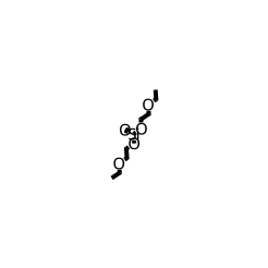 CCOCCO[Si](=O)OCCOCC